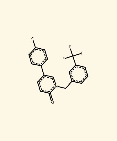 O=c1ccc(-c2ccc(Cl)cc2)cn1Cc1cccc(C(F)(F)F)c1